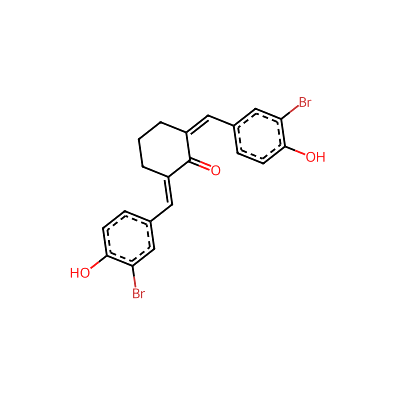 O=C1C(=Cc2ccc(O)c(Br)c2)CCCC1=Cc1ccc(O)c(Br)c1